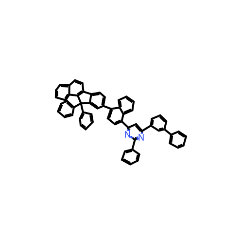 c1ccc(-c2cccc(-c3cc(-c4ccc(-c5ccc6c(c5)C(c5ccccc5)(c5ccccc5)c5c-6ccc6ccccc56)c5ccccc45)nc(-c4ccccc4)n3)c2)cc1